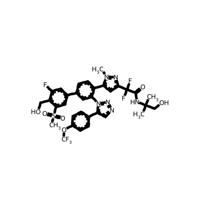 Cn1nc(C(F)(F)C(=O)NC(C)(C)CO)cc1-c1ccc(-c2cc(F)c(CO)c(S(C)(=O)=O)c2)cc1-n1nncc1-c1ccc(OC(F)(F)F)cc1